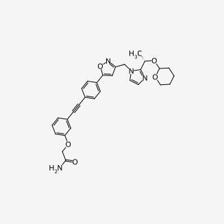 C[C@H](OC1CCCCO1)c1nccn1Cc1cc(-c2ccc(C#Cc3cccc(OCC(N)=O)c3)cc2)on1